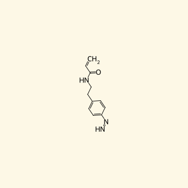 C=CC(=O)NCCc1ccc(N=N)cc1